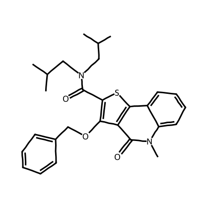 CC(C)CN(CC(C)C)C(=O)c1sc2c(c1OCc1ccccc1)c(=O)n(C)c1ccccc21